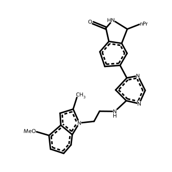 CCCC1NC(=O)c2ccc(-c3cc(NCCn4c(C)cc5c(OC)cccc54)ncn3)cc21